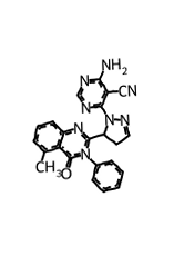 Cc1cccc2nc(C3CC=NN3c3ncnc(N)c3C#N)n(-c3ccccc3)c(=O)c12